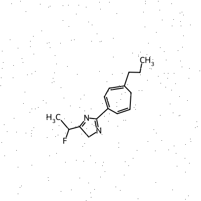 CCCC1=CC=C(C2=NCC(C(C)F)=N2)C=CC1